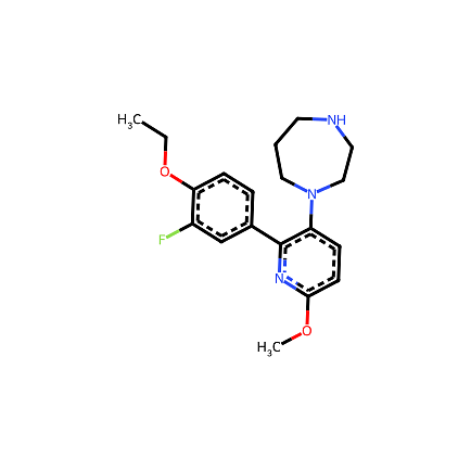 CCOc1ccc(-c2nc(OC)ccc2N2CCCNCC2)cc1F